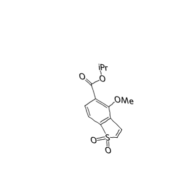 COc1c(C(=O)OC(C)C)ccc2c1C=CS2(=O)=O